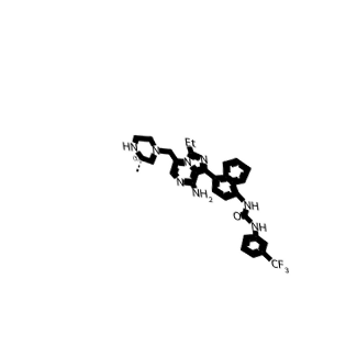 CCc1nc(-c2ccc(NC(=O)Nc3cccc(C(F)(F)F)c3)c3ccccc23)c2c(N)ncc(CN3CCN[C@@H](C)C3)n12